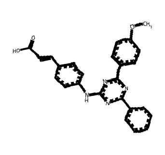 COc1ccc(-c2nc(Nc3ccc(/C=C/C(=O)O)cc3)nc(-c3ccccc3)n2)cc1